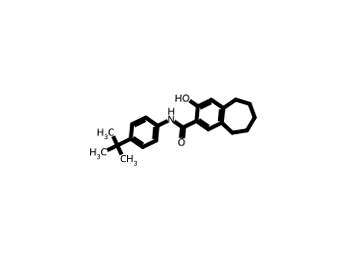 CC(C)(C)c1ccc(NC(=O)c2cc3c(cc2O)CCCCC3)cc1